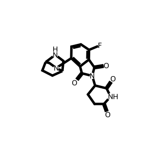 O=C1CCC(N2C(=O)c3c(F)ccc(N4CC5CCC4CN5)c3C2=O)C(=O)N1